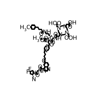 COC(=O)C[C@H](NC(=O)[C@H](CSCCNC(=O)CCCc1ccc(C)cc1)NC(=O)CN1CCN(CC(=O)O)CCN(CC(=O)O)CCN(CC(=O)O)CC1)C(=O)N1CCN(CCCCOc2ccc3nccc(C(=O)NCC(=O)N4CC(F)(F)C[C@@H]4C#N)c3c2)CC1